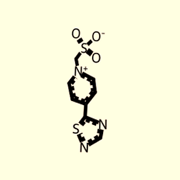 O=S(=O)([O-])C[n+]1ccc(-c2ncns2)cc1